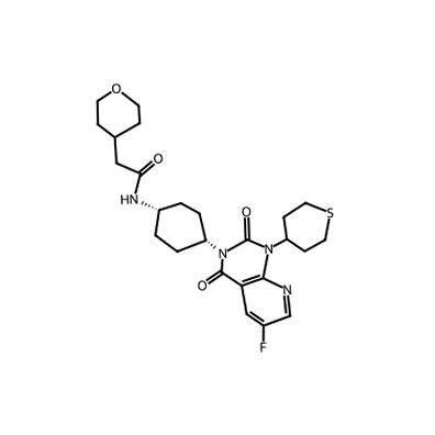 O=C(CC1CCOCC1)N[C@H]1CC[C@@H](n2c(=O)c3cc(F)cnc3n(C3CCSCC3)c2=O)CC1